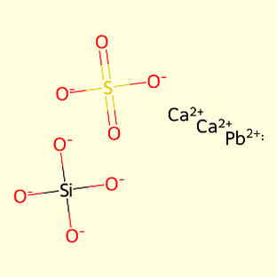 O=S(=O)([O-])[O-].[Ca+2].[Ca+2].[O-][Si]([O-])([O-])[O-].[Pb+2]